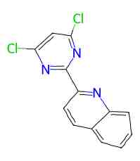 Clc1cc(Cl)nc(-c2ccc3ccccc3n2)n1